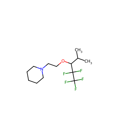 CC(C)C(OCCN1CCCCC1)C(F)(F)C(F)(F)F